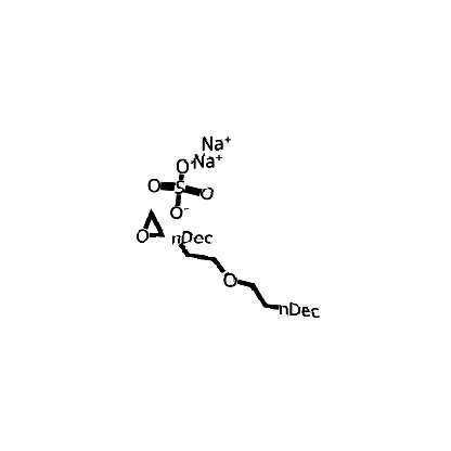 C1CO1.CCCCCCCCCCCCOCCCCCCCCCCCC.O=S(=O)([O-])[O-].[Na+].[Na+]